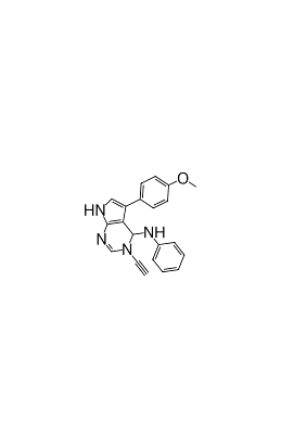 C#CN1C=Nc2[nH]cc(-c3ccc(OC)cc3)c2C1Nc1ccccc1